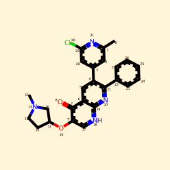 Cc1cc(-c2cc3c(=O)c(OC4CCN(C)C4)c[nH]c3nc2-c2ccccc2)cc(Cl)n1